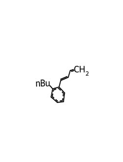 C=CC=Cc1ccccc1CCCC